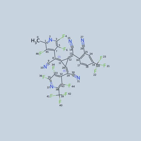 Cc1nc(F)c(F)c(/C(C#N)=C2\C(=C(C#N)c3ccc(C(F)(F)F)cc3C#N)\C2=C(/C#N)c2c(F)c(F)nc(C(F)(F)F)c2F)c1F